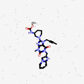 CC#CCn1c(N2CCCC(NC(=O)OC(C)(C)C)C2)nc2c1c(=O)n(Cc1cn3ccccc3n1)c(=O)n2C